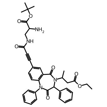 CCOC(=O)CC(C)N1C(=O)c2cc(C#CC(=O)NCC(N)C(=O)OC(C)(C)C)ccc2N(c2ccccc2)C(=O)C1c1ccccc1